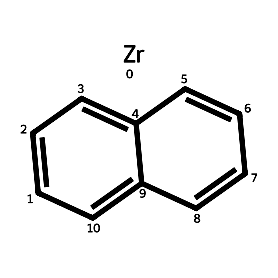 [Zr].c1ccc2ccccc2c1